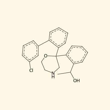 CC(O)c1ccccc1C1(c2ccccc2-c2cccc(Cl)c2)CNCCO1